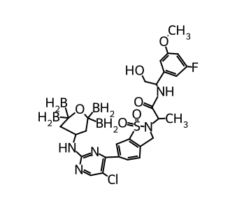 BC1(B)CC(Nc2ncc(Cl)c(-c3ccc4c(c3)S(=O)(=O)N(C(C)C(=O)NC(CO)c3cc(F)cc(OC)c3)C4)n2)CC(B)(B)O1